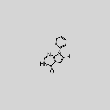 O=c1[nH]cnc2c1cc(I)n2-c1ccccc1